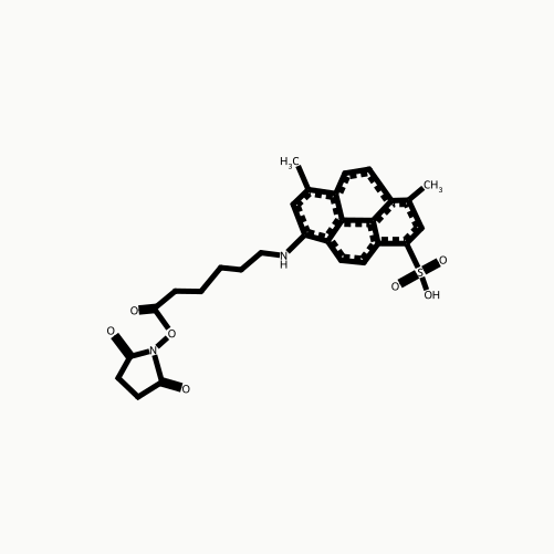 Cc1cc(NCCCCCC(=O)ON2C(=O)CCC2=O)c2ccc3c(S(=O)(=O)O)cc(C)c4ccc1c2c43